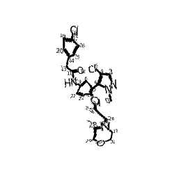 Cn1ncc(Cl)c1-c1cc(NC(=O)Cc2ccc(Cl)cc2)ccc1OCCN1CCOCC1